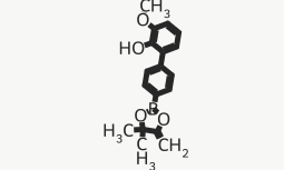 C=C1OB(c2ccc(-c3cccc(OC)c3O)cc2)OC1(C)C